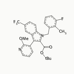 COc1ncccc1-c1c(C(=O)OC(C)(C)C)n(Cc2cccc(F)c2C)c2ccc(C(F)(F)F)cc12